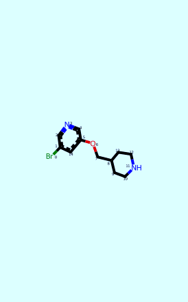 Brc1cncc(OCC2CCNCC2)c1